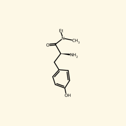 CCN(C)C(=O)[C@@H](N)Cc1ccc(O)cc1